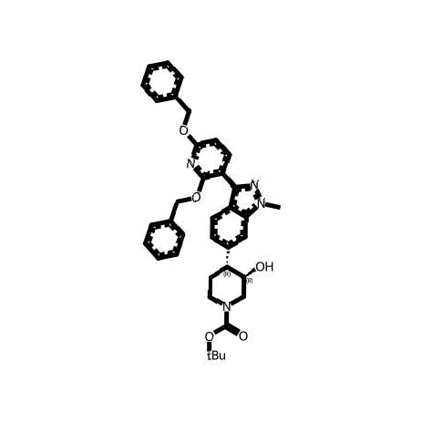 Cn1nc(-c2ccc(OCc3ccccc3)nc2OCc2ccccc2)c2ccc([C@H]3CCN(C(=O)OC(C)(C)C)C[C@@H]3O)cc21